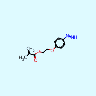 C=C(C)C(=O)OCCOc1ccc(N=N)cc1